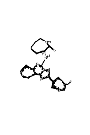 O=C1NCCCC[C@H]1Nc1nc2ccccc2c2nc(-c3cncc(F)c3)nn12